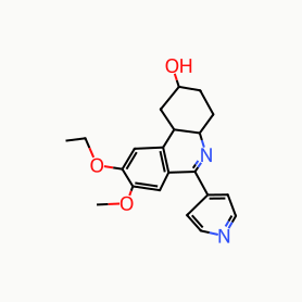 CCOc1cc2c(cc1OC)C(c1ccncc1)=NC1CCC(O)CC21